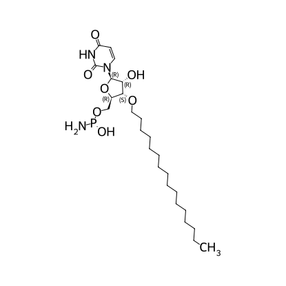 CCCCCCCCCCCCCCCCO[C@H]1[C@@H](O)[C@H](n2ccc(=O)[nH]c2=O)O[C@@H]1COP(N)O